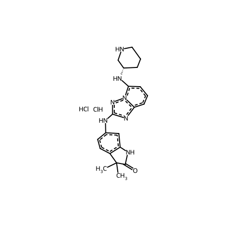 CC1(C)C(=O)Nc2cc(Nc3nc4cccc(N[C@H]5CCCNC5)n4n3)ccc21.Cl.Cl